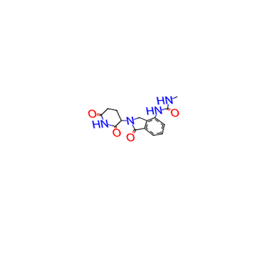 CNC(=O)Nc1cccc2c1CN(C1CCC(=O)NC1=O)C2=O